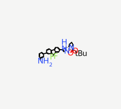 CC(C)(C)OC(=O)N1CCC[C@H]1c1ncc(-c2ccc3c(c2)C(F)(F)c2cc(-c4cccc(N)c4)ccc2-3)[nH]1